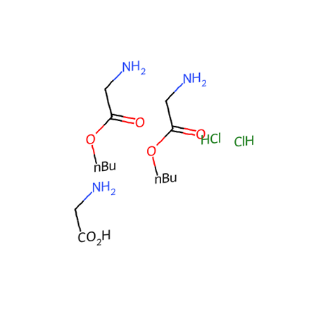 CCCCOC(=O)CN.CCCCOC(=O)CN.Cl.Cl.NCC(=O)O